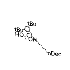 CCCCCCCCCCCCCCCCCCC(O)(Cc1cc(C(C)(C)C)cc(C(C)(C)C)c1)C(=O)O